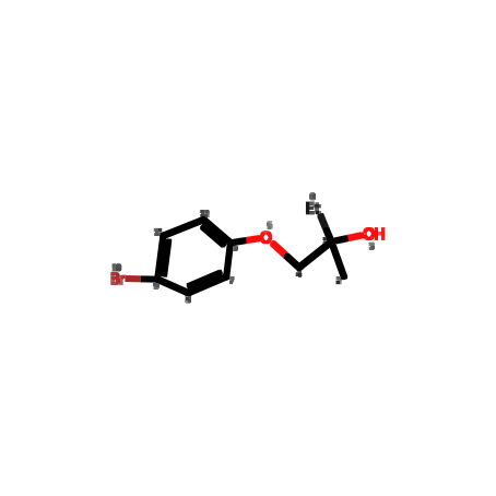 CCC(C)(O)COc1ccc(Br)cc1